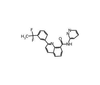 CC(F)(F)c1cccc(-c2ccc3cccc(C(=O)Nc4cccnn4)c3n2)c1